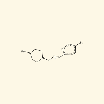 CCc1ccc(/C=C/CN2CCN(C(C)C)CC2)nc1